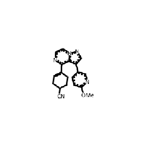 COc1ccc(-c2cnn3ccnc(C4=CCC(C#N)CC4)c23)cn1